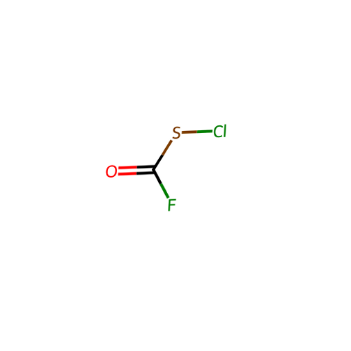 O=C(F)SCl